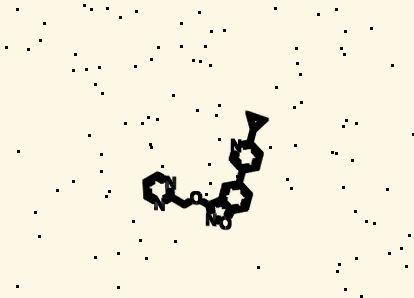 c1cnc(COc2noc3ccc(-c4ccc(C5CC5)nc4)cc23)nc1